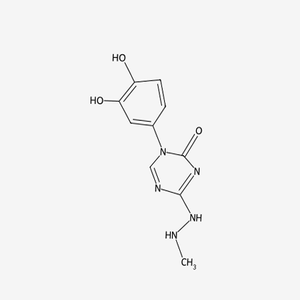 CNNc1ncn(-c2ccc(O)c(O)c2)c(=O)n1